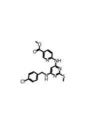 COC(=O)c1ccc(Nc2cc(NCc3ccc(Cl)cc3)nc(SC)n2)nc1